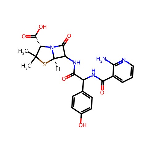 CC1(C)S[C@@H]2C(NC(=O)C(NC(=O)c3cccnc3N)c3ccc(O)cc3)C(=O)N2[C@H]1C(=O)O